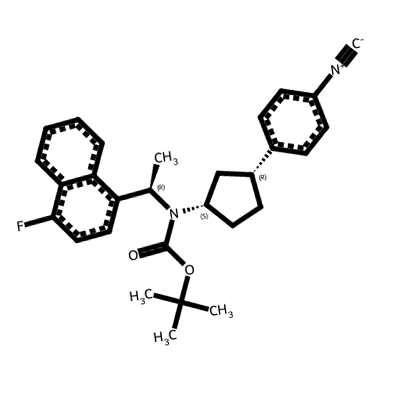 [C-]#[N+]c1ccc([C@@H]2CC[C@H](N(C(=O)OC(C)(C)C)[C@H](C)c3ccc(F)c4ccccc34)C2)cc1